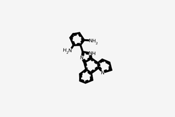 Nc1cccc(N)c1-c1nc2c3ccccc3c3ncccc3c2[nH]1